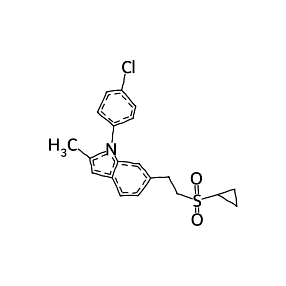 Cc1cc2ccc(CCS(=O)(=O)C3CC3)cc2n1-c1ccc(Cl)cc1